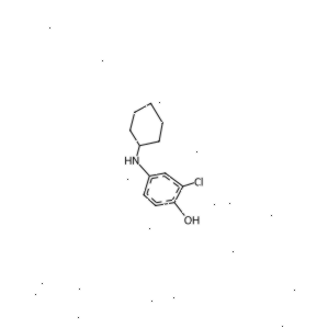 Oc1ccc(NC2CCCCC2)cc1Cl